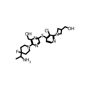 CC(N)C1(F)CCN(c2ncc(Sc3ccnc(N4CC(CO)C4)c3Cl)nc2CO)CC1